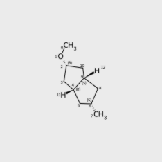 CO[C@H]1C[C@H]2C[C@@H](C)C[C@H]2C1